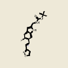 CC(C)(C)OC(=O)NCc1cc2cc(F)c(/C=C/c3ccon3)cc2[nH]1